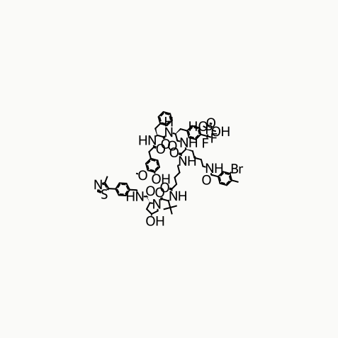 COc1cc(CC(=O)N[C@@H](Cc2ccccc2)C(=O)N[C@@H](Cc2ccc(C(F)(F)P(=O)(O)O)cc2)C(=O)N[C@@H](CCCCNC(=O)c2ccc(C)c(Br)c2)C(=O)NCCCCC(=O)N[C@@H](C(=O)N2C[C@@H](O)C[C@@H]2C(=O)NCc2ccc(-c3scnc3C)cc2)C(C)(C)C)ccc1O